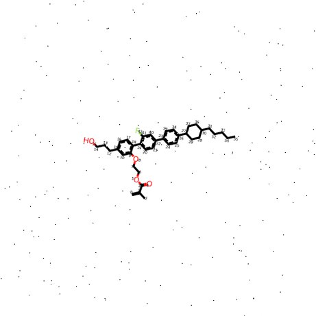 C=C(C)C(=O)OCCOc1cc(CCCO)ccc1-c1ccc(-c2ccc(C3CCC(CCCCC)CC3)cc2)cc1F